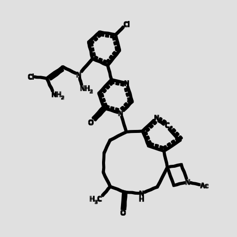 CC(=O)N1CC2(CNC(=O)C(C)CCCC(n3cnc(-c4cc(Cl)ccc4N(N)/C=C(\N)Cl)cc3=O)c3cc2ccn3)C1